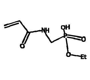 C=CC(=O)NCP(=O)(O)OCC